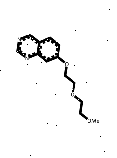 COCCOCCOc1ccc2cncnc2c1